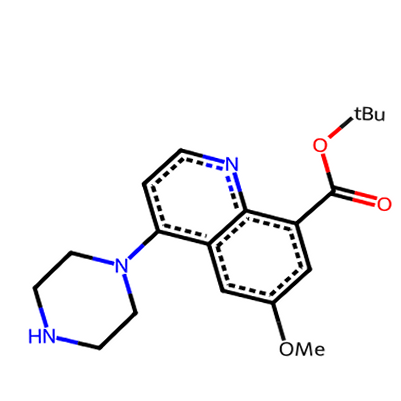 COc1cc(C(=O)OC(C)(C)C)c2nccc(N3CCNCC3)c2c1